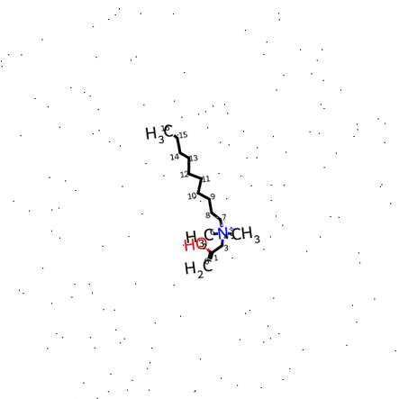 C=C(O)C[N+](C)(C)CCCCCCCCCC